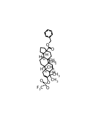 CC1(C)C(OS(=O)(=O)C(F)(F)F)=CC[C@]2(C)[C@H]3CC[C@@H]4[C@H]5CCC[C@]5(C(=O)OCc5ccccc5)CC[C@@]4(C)[C@]3(C)CC[C@@H]12